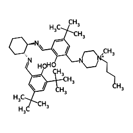 CCCC[N+]1(C)CCN(Cc2cc(C(C)(C)C)cc(/C=N/[C@@H]3CCCC[C@H]3/N=C/c3cc(C(C)(C)C)cc(C(C)(C)C)c3O)c2O)CC1